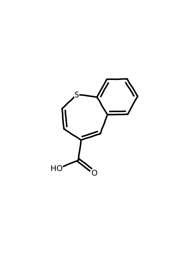 O=C(O)C1=Cc2ccccc2SC=C1